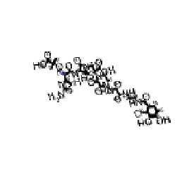 CC(C)(O/N=C(\C(=O)N[C@@H]1C(=O)N2C[C@@](C(=O)O)(N3CCN(NC(=O)C(=O)NCCNC(=O)c4ccc(O)c(O)c4Cl)C(=O)C3=O)S[C@H]12)c1csc(N)n1)C(=O)O